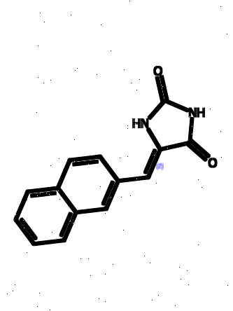 O=C1NC(=O)/C(=C/c2ccc3ccccc3c2)N1